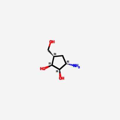 N[C@H]1C[C@@H](CO)[C@H](O)[C@@H]1O